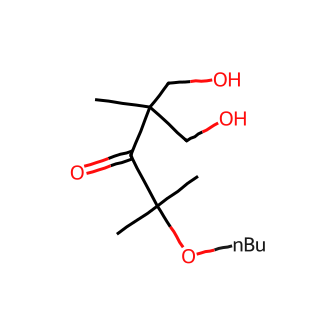 CCCCOC(C)(C)C(=O)C(C)(CO)CO